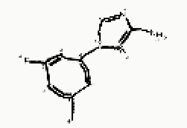 Cc1cc(F)cc(-n2cnc(N)n2)c1